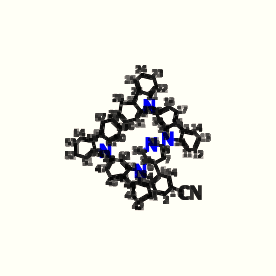 N#Cc1cccc(-c2cc(-n3c4ccccc4c4ccc(-n5c6ccccc6c6ccccc65)cc43)ncc2-n2c3ccccc3c3ccc(-n4c5ccccc5c5ccccc54)cc32)c1